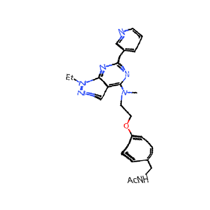 CCn1ncc2c(N(C)CCOc3ccc(CNC(C)=O)cc3)nc(-c3cccnc3)nc21